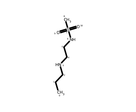 CCCNCCNS(C)(=O)=O